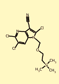 C[Si](C)(C)CCOCn1c(Cl)c(C#N)c2nc(Cl)c(Cl)cc21